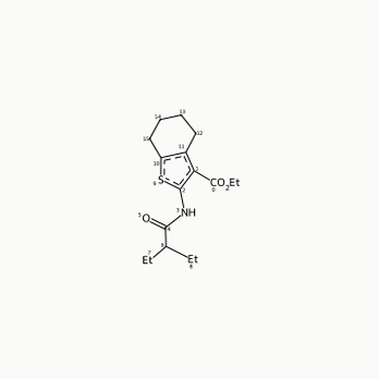 CCOC(=O)c1c(NC(=O)C(CC)CC)sc2c1CCCC2